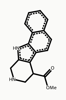 COC(=O)C1CNCc2[nH]c3c(ccc4ccccc43)c21